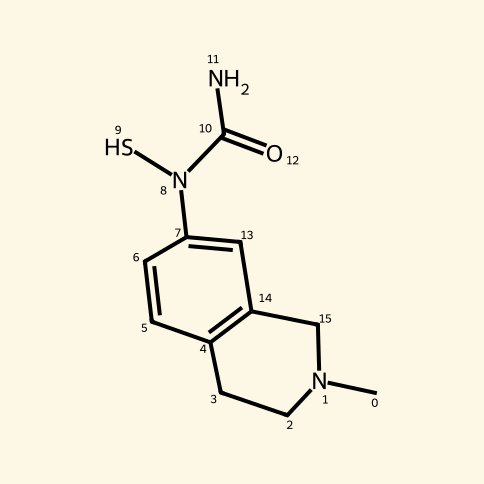 CN1CCc2ccc(N(S)C(N)=O)cc2C1